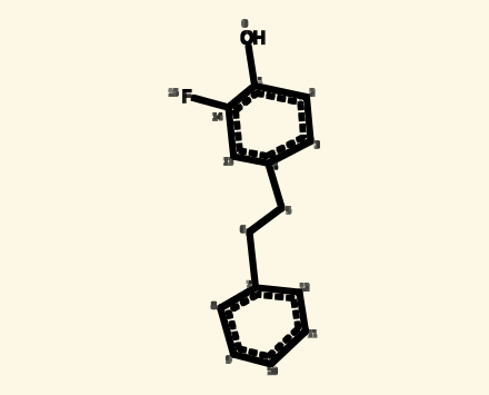 Oc1ccc(CCc2ccccc2)cc1F